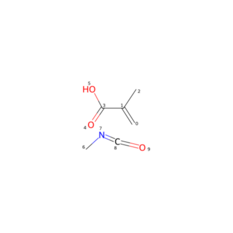 C=C(C)C(=O)O.CN=C=O